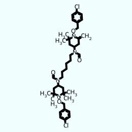 C=C1CC(N(C=O)CCCCCCN(C=O)C2CC(C)(C)N(OCc3ccc(Cl)cc3)C(C)(C)C2)CC(C)(C)N1OCc1ccc(Cl)cc1